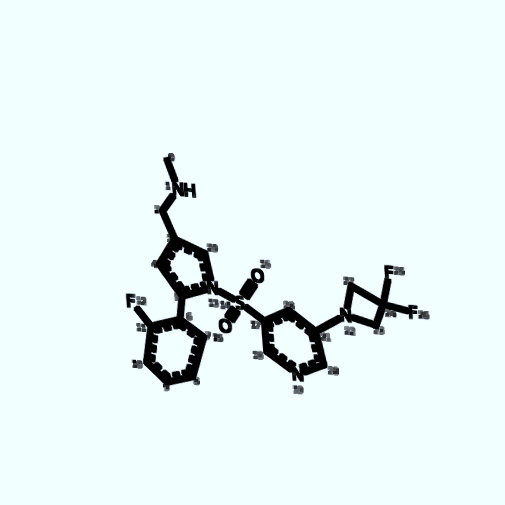 CNCc1cc(-c2ccccc2F)n(S(=O)(=O)c2cncc(N3CC(F)(F)C3)c2)c1